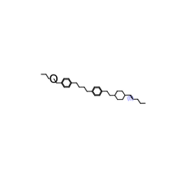 CCC/C=C/C1CCC(CCc2ccc(CCCCc3ccc(COCCC)cc3)cc2)CC1